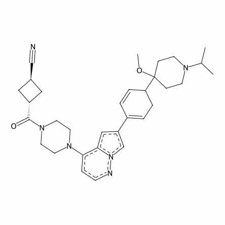 COC1(C2C=CC(c3cc4c(N5CCN(C(=O)[C@H]6C[C@H](C#N)C6)CC5)ccnn4c3)=CC2)CCN(C(C)C)CC1